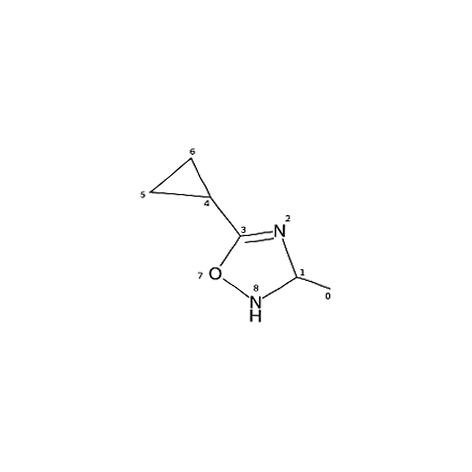 CC1N=C(C2CC2)ON1